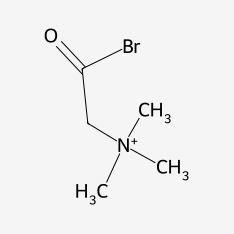 C[N+](C)(C)CC(=O)Br